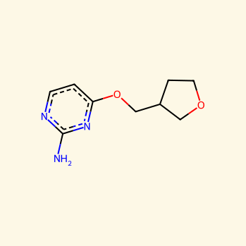 Nc1nccc(OCC2CCOC2)n1